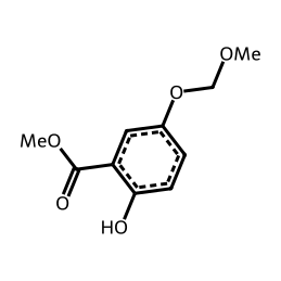 COCOc1ccc(O)c(C(=O)OC)c1